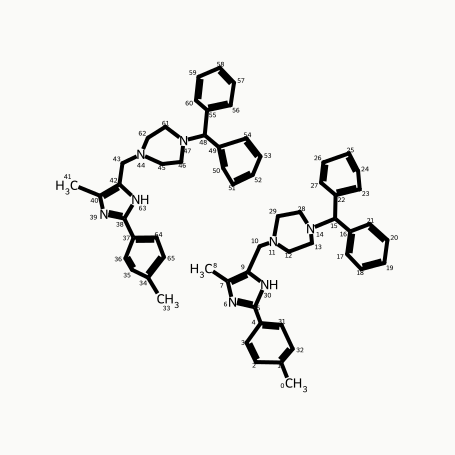 Cc1ccc(-c2nc(C)c(CN3CCN(C(c4ccccc4)c4ccccc4)CC3)[nH]2)cc1.Cc1ccc(-c2nc(C)c(CN3CCN(C(c4ccccc4)c4ccccc4)CC3)[nH]2)cc1